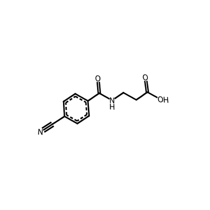 N#Cc1ccc(C(=O)NCCC(=O)O)cc1